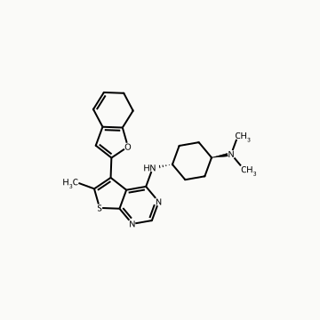 Cc1sc2ncnc(N[C@H]3CC[C@H](N(C)C)CC3)c2c1-c1cc2c(o1)CCC=C2